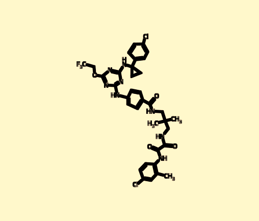 Cc1cc(Cl)ccc1NC(=O)C(=O)NCC(C)(C)CNC(=O)c1ccc(Nc2nc(NC3(c4ccc(Cl)cc4)CC3)nc(OCC(F)(F)F)n2)cc1